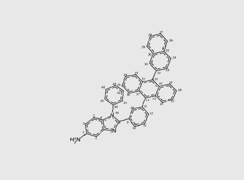 Nc1ccc2c(c1)nc(-c1cccc(-c3c4ccccc4c(-c4ccc5ccccc5c4)c4ccccc34)c1)n2-c1ccccc1